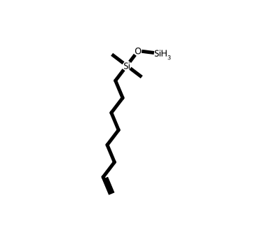 C=CCCCCCC[Si](C)(C)O[SiH3]